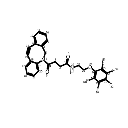 O=C(CCC(=O)N1Cc2ccccc2C#Cc2ccccc21)NCCOc1c(F)c(F)c(F)c(F)c1F